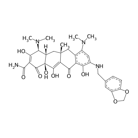 CN(C)c1cc(NCc2ccc3c(c2)OCO3)c(O)c2c1C[C@@]1(C)C[C@H]3[C@H](N(C)C)C(O)=C(C(N)=O)C(=O)[C@@]3(O)C(O)=C1C2=O